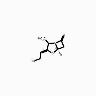 O=C(O)C1/C(=C/CO)O[C@@H]2CC(=O)N12